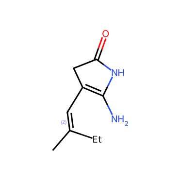 CC/C(C)=C\C1=C(N)NC(=O)C1